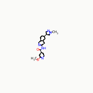 COc1cc(C(=O)Nc2cc3cc(-c4cnn(C)c4)ccc3cn2)ccn1